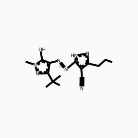 CCCc1n[nH]c(/N=N/c2c(C(C)(C)C)nn(C)c2O)c1C#N